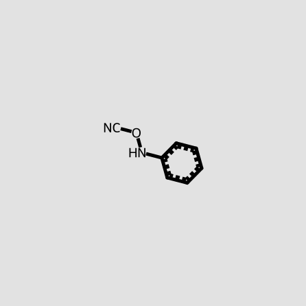 N#CONc1ccccc1